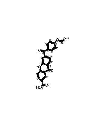 O=C(O)c1ccc2oc3cc(C(=O)c4ccc(OC=S)cc4)ccc3c(=O)c2c1